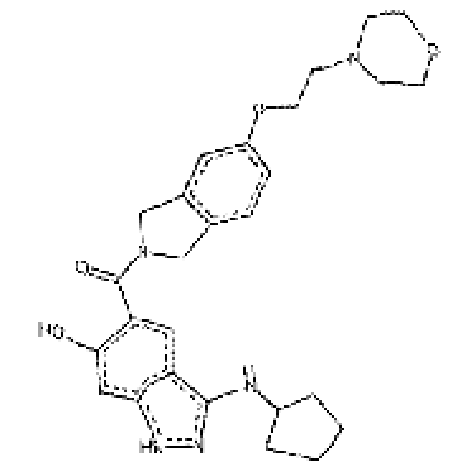 O=C(c1cc2c(NC3CCCC3)n[nH]c2cc1O)N1Cc2ccc(OCCN3CCOCC3)cc2C1